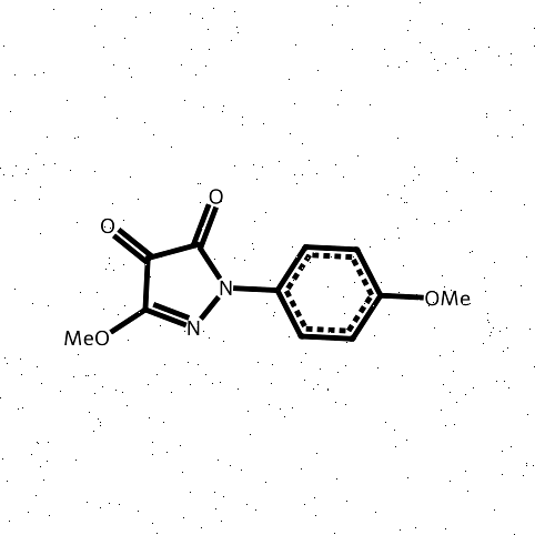 COC1=NN(c2ccc(OC)cc2)C(=O)C1=O